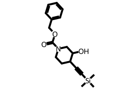 C[Si](C)(C)C#CC1CCN(C(=O)OCc2ccccc2)CC1O